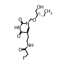 CC[C@@H](CO)OCn1cc(CCNC(=O)CF)c(=O)[nH]c1=O